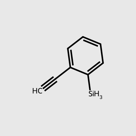 C#Cc1ccccc1[SiH3]